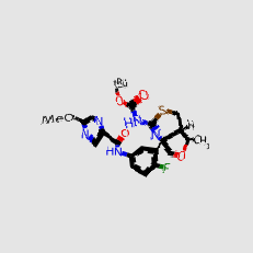 COc1cnc(C(=O)Nc2ccc(F)c([C@]34CO[C@H](C)[C@H]3CSC(NC(=O)OC(C)(C)C)=N4)c2)cn1